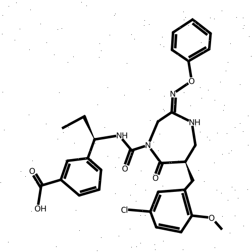 CC[C@@H](NC(=O)N1C/C(=N/Oc2ccccc2)NC[C@@H](Cc2cc(Cl)ccc2OC)C1=O)c1cccc(C(=O)O)c1